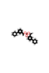 CC(OC(=O)OC(C)c1cccc(C2CCCCC2)c1)c1cccc(C2CCCCC2)c1